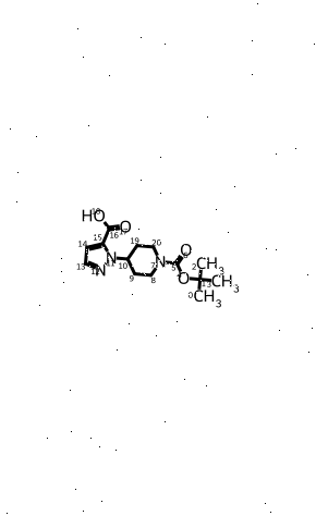 CC(C)(C)OC(=O)N1CCC(n2nccc2C(=O)O)CC1